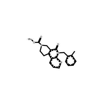 Cc1ccccc1Cn1c(=O)c2c(c3cccnc31)CCN(C(=O)OC(C)(C)C)C2